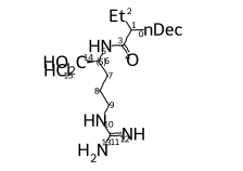 CCCCCCCCCCC(CC)C(=O)N[C@@H](CCCNC(=N)N)C(=O)O.Cl